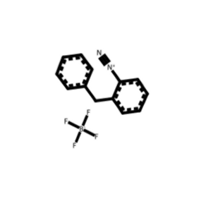 F[B-](F)(F)F.N#[N+]c1ccccc1Cc1ccccc1